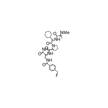 CN[C@@H](C)C(=O)N[C@H](C(=O)N1CCC[C@H]1C(=O)N[C@@H](CNC(=O)c1ccc(CF)cc1)C(N)=O)C1CCCCC1